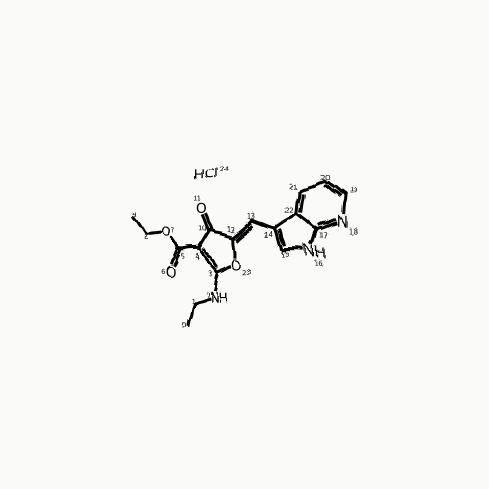 CCNC1=C(C(=O)OCC)C(=O)/C(=C/c2c[nH]c3ncccc23)O1.Cl